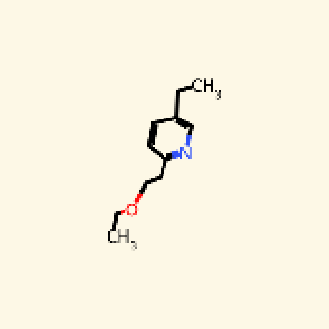 CCOCCc1ccc(CC)cn1